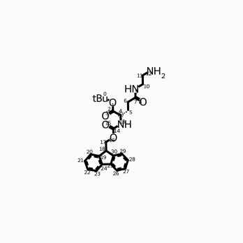 CC(C)(C)OC(=O)[C@H](CCC(=O)NCCN)NC(=O)OCC1c2ccccc2-c2ccccc21